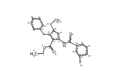 CCOC(=O)c1c(NC(=O)c2cccc(F)c2)nc(SC)n1Cc1ccccc1